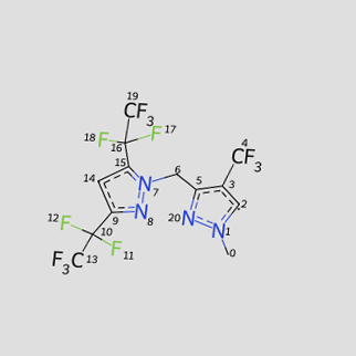 Cn1[c]c(C(F)(F)F)c(Cn2nc(C(F)(F)C(F)(F)F)cc2C(F)(F)C(F)(F)F)n1